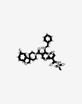 CS(=O)(=O)NC(=O)c1cnn2c(NCc3ccccc3)c(C(=O)N3CCC4(CC3)COc3ccc(F)cc34)cnc12